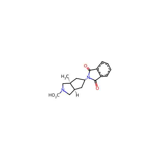 C[C@]12C[C@H](N3C(=O)c4ccccc4C3=O)C[C@H]1CN(C(=O)O)C2